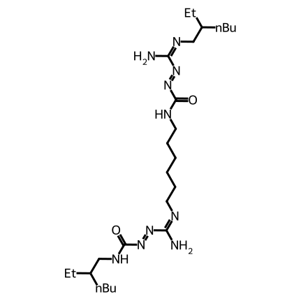 CCCCC(CC)CN=C(N)N=NC(=O)NCCCCCCN=C(N)N=NC(=O)NCC(CC)CCCC